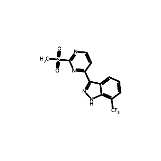 CS(=O)(=O)c1nccc(-c2n[nH]c3c(C(F)(F)F)cccc23)n1